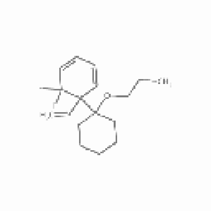 C=CC1(C2(OCCC)CCCCC2)C=CC=CC1(F)F